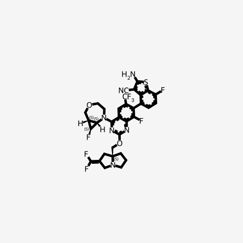 N#Cc1c(N)sc2c(F)ccc(-c3c(C(F)(F)F)cc4c(N5CCOC[C@H]6[C@H](F)[C@H]65)nc(OC[C@@]56CCCN5CC(=C(F)F)C6)nc4c3F)c12